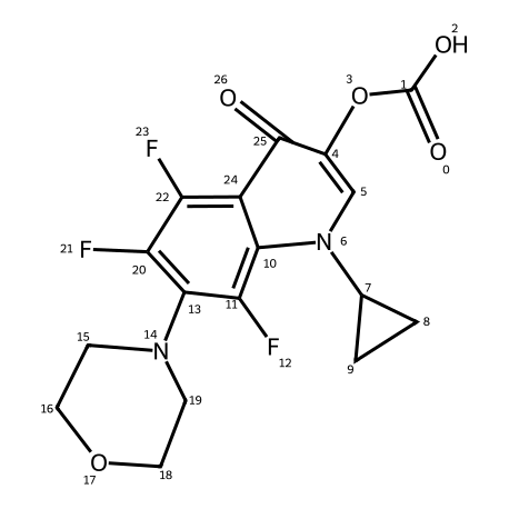 O=C(O)Oc1cn(C2CC2)c2c(F)c(N3CCOCC3)c(F)c(F)c2c1=O